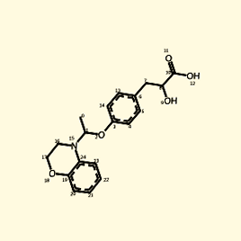 CC(Oc1ccc(CC(O)C(=O)O)cc1)N1CCOc2ccccc21